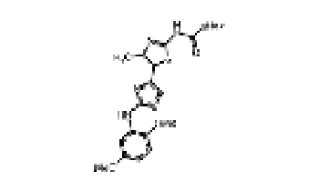 CCCCCCC(=O)NC1=NC(C)C(c2csc(Nc3cc(OC)ccc3OC)n2)S1